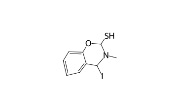 CN1C(S)Oc2ccccc2C1I